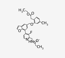 CCOC(=O)Cc1ccc(C)cc1OCc1cc(-c2ccnc(CN[S@+]([O-])CC)c2F)c2occc2c1